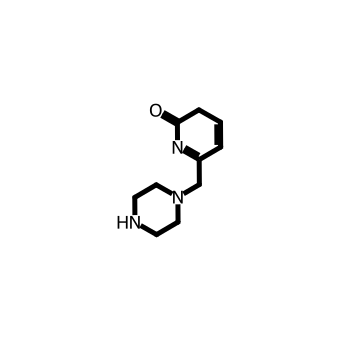 O=C1CC=CC(CN2CCNCC2)=N1